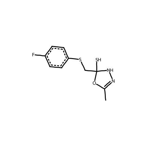 CC1=NNC(S)(CSc2ccc(F)cc2)O1